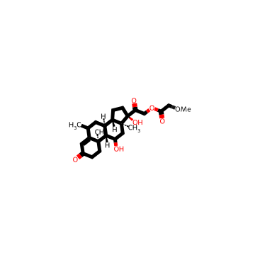 COCC(=O)OCC(=O)[C@@]1(O)CC[C@H]2[C@@H]3CC(C)C4=CC(=O)CC[C@]4(C)[C@H]3C(O)C[C@@]21C